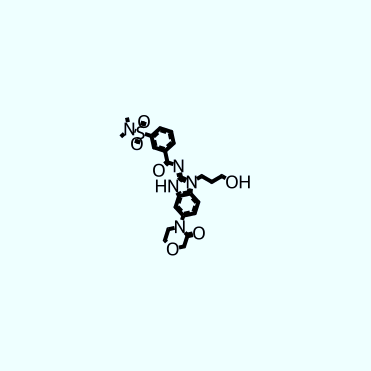 CN(C)S(=O)(=O)c1cccc(C(=O)/N=c2\[nH]c3cc(N4CCOCC4=O)ccc3n2CCCO)c1